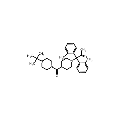 CC(=O)C(c1ccccc1C)(c1ccccc1C)N1CCC(C(=O)N2CCN(C(C)(C)C)CC2)CC1